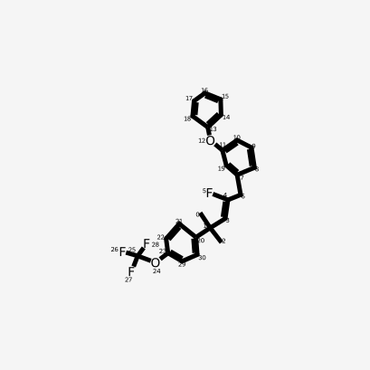 CC(C)(C=C(F)Cc1cccc(Oc2ccccc2)c1)c1ccc(OC(F)(F)F)cc1